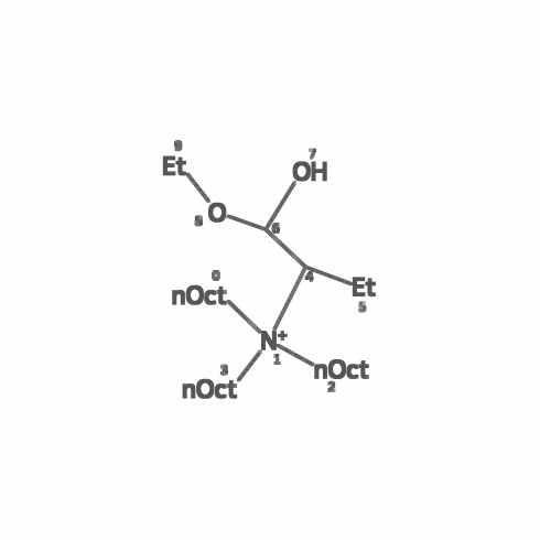 CCCCCCCC[N+](CCCCCCCC)(CCCCCCCC)C(CC)C(O)OCC